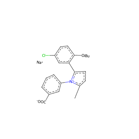 Cc1ccc(-c2cc(Cl)ccc2OCC(C)C)n1-c1cccc(C(=O)[O-])c1.[Na+]